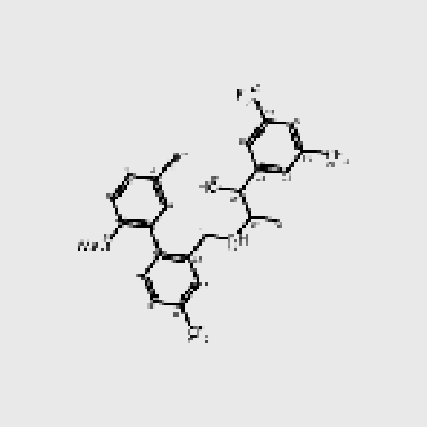 COc1ccc(C(C)C)cc1-c1ccc(C(F)(F)F)cc1CNC(C)C(O)c1cc(C(F)(F)F)cc(C(F)(F)F)c1